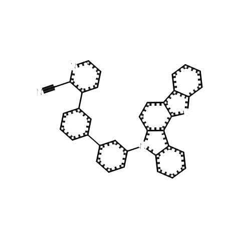 N#Cc1ncccc1-c1cccc(-c2cccc(-n3c4ccccc4c4c5sc6ccccc6c5ccc43)c2)c1